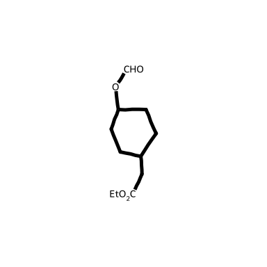 CCOC(=O)CC1CCC(OC=O)CC1